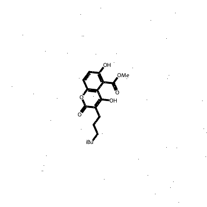 CCC(C)CCCc1c(O)c2c(C(=O)OC)c(O)ccc2oc1=O